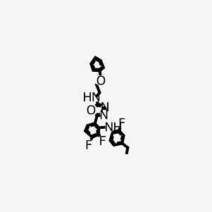 CCc1ccc(Nc2c(-c3nnc(NCCOc4ccccc4)o3)ccc(F)c2F)c(F)c1